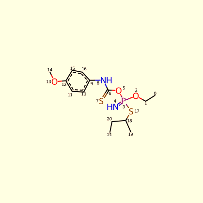 CCOP(=N)(OC(=S)Nc1ccc(OC)cc1)SC(C)CC